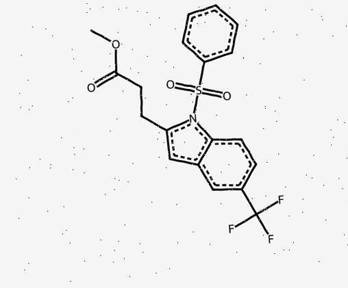 COC(=O)CCc1cc2cc(C(F)(F)F)ccc2n1S(=O)(=O)c1ccccc1